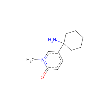 Cn1cc(C2(N)CCCCC2)ccc1=O